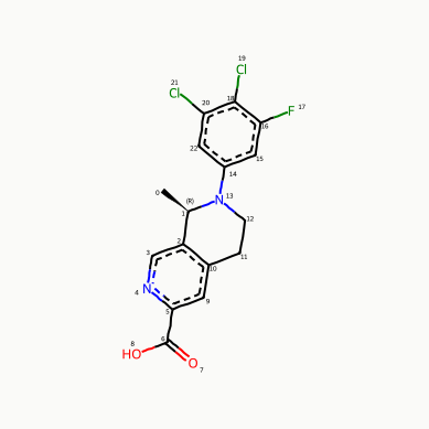 C[C@@H]1c2cnc(C(=O)O)cc2CCN1c1cc(F)c(Cl)c(Cl)c1